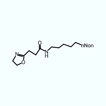 CCCCCCCCCCCCCCNC(=O)CCC1=NCCO1